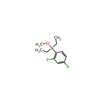 CC[Si](CC)(OC)c1ccc(F)cc1F